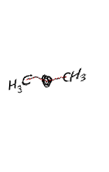 CCCCCCCCCCCCCCCOC(=O)OCCCCCCCCCCCCCCC